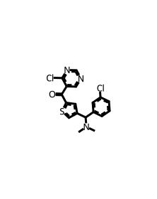 CN(C)C(c1cccc(Cl)c1)c1csc(C(=O)c2cncnc2Cl)c1